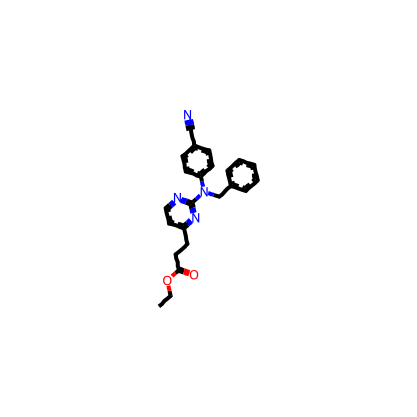 CCOC(=O)CCc1ccnc(N(Cc2ccccc2)c2ccc(C#N)cc2)n1